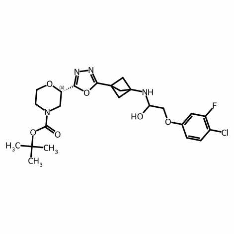 CC(C)(C)OC(=O)N1CCO[C@H](c2nnc(C34CC(NC(O)COc5ccc(Cl)c(F)c5)(C3)C4)o2)C1